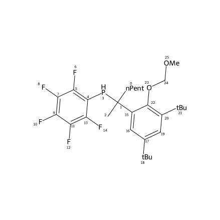 CCCCCC(C)(Pc1c(F)c(F)c(F)c(F)c1F)c1cc(C(C)(C)C)cc(C(C)(C)C)c1OCOC